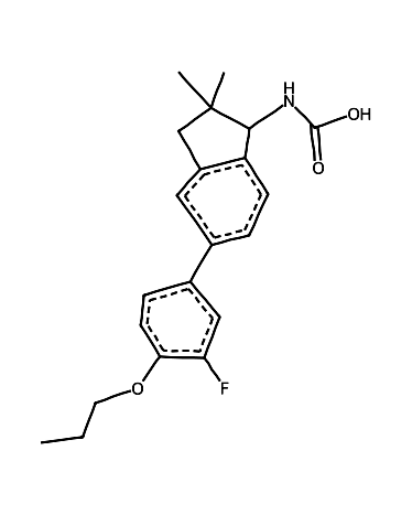 CCCOc1ccc(-c2ccc3c(c2)CC(C)(C)C3NC(=O)O)cc1F